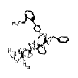 C=Cc1ccccc1C1CCC(OC[C@H]2[C@@H](NC(=O)OC(C)(C)C)CCCN2C(=O)OCc2ccccc2)CC1